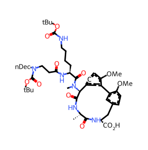 CCCCCCCCCCN(CCC(=O)N[C@@H](CCCCNC(=O)OC(C)(C)C)C(=O)N(C)[C@@H]1C(=O)N[C@@H](C)C(=O)N[C@H](C(=O)O)Cc2ccc(OC)c(c2)-c2cc1ccc2OC)C(=O)OC(C)(C)C